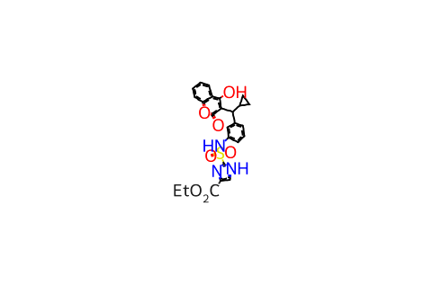 CCOC(=O)c1c[nH]c(S(=O)(=O)Nc2cccc(C(c3c(O)c4ccccc4oc3=O)C3CC3)c2)n1